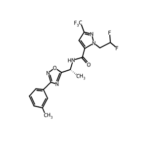 Cc1cccc(-c2noc([C@@H](C)NC(=O)c3cc(C(F)(F)F)nn3CC(F)F)n2)c1